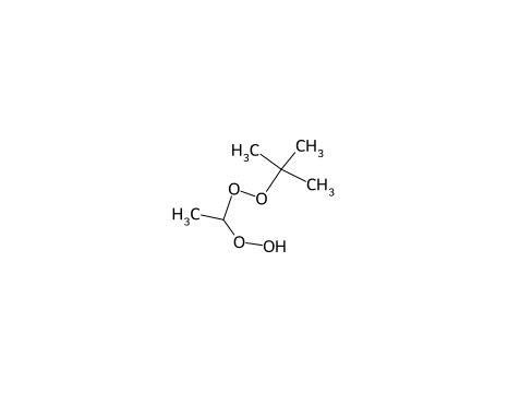 CC(OO)OOC(C)(C)C